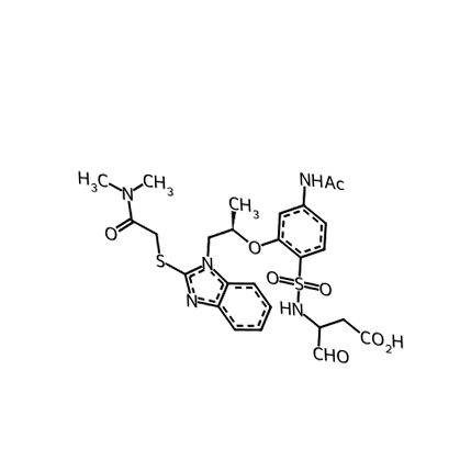 CC(=O)Nc1ccc(S(=O)(=O)NC(C=O)CC(=O)O)c(O[C@H](C)Cn2c(SCC(=O)N(C)C)nc3ccccc32)c1